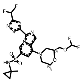 C[C@@H]1CN(c2cc(S(=O)(=O)NC3(C)CC3)cn3c(-c4nnc(C(F)F)s4)ncc23)C[C@@H](COC(F)F)O1